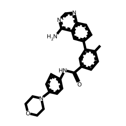 Cc1ccc(C(=O)Nc2ccc(N3CCOCC3)cc2)cc1-c1ccc2ncnc(N)c2c1